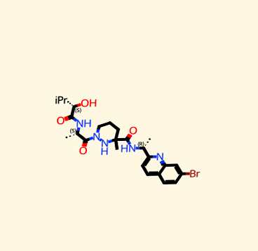 CC(C)[C@H](O)C(=O)N[C@@H](C)C(=O)N1CCCC(C)(C(=O)N[C@H](C)c2ccc3ccc(Br)cc3n2)N1